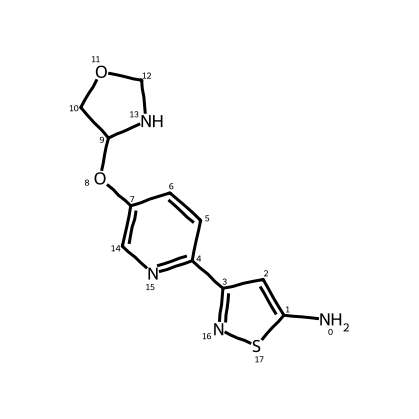 Nc1cc(-c2ccc(OC3COCN3)cn2)ns1